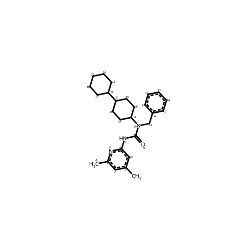 Cc1cc(C)nc(NC(=O)N(Cc2ccccc2)C2CCC(C3CCCCC3)CC2)c1